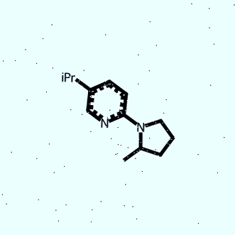 CC(C)c1ccc(N2CCCC2C)nc1